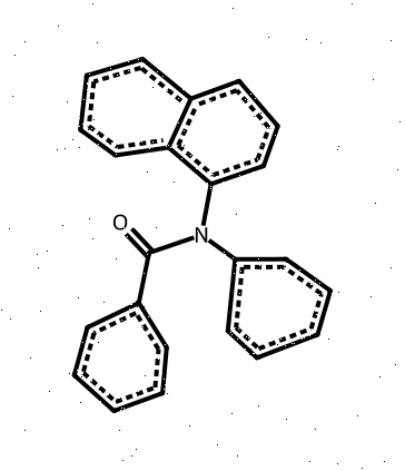 O=C(c1ccccc1)N(c1ccccc1)c1cccc2ccccc12